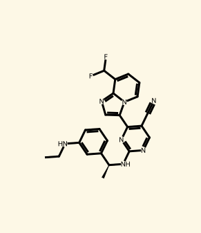 CCNc1cccc([C@H](C)Nc2ncc(C#N)c(-c3cnc4c(C(F)F)cccn34)n2)c1